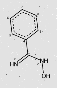 N=C(NO)c1c[c]ccc1